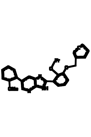 COc1ccccc1-c1cnc2[nH]c(-c3cccc(OCc4ccccc4)c3OC(C)C)nc2c1